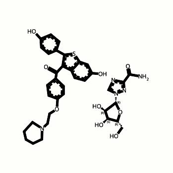 NC(=O)c1ncn([C@@H]2O[C@H](CO)[C@@H](O)[C@H]2O)n1.O=C(c1ccc(OCCN2CCCCC2)cc1)c1c(-c2ccc(O)cc2)sc2cc(O)ccc12